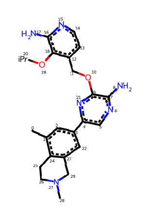 Cc1cc(-c2cnc(N)c(OCc3ccnc(N)c3OC(C)C)n2)cc2c1CCN(C)C2